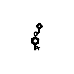 CC(C)c1ccc(OCC2CCC2)cc1